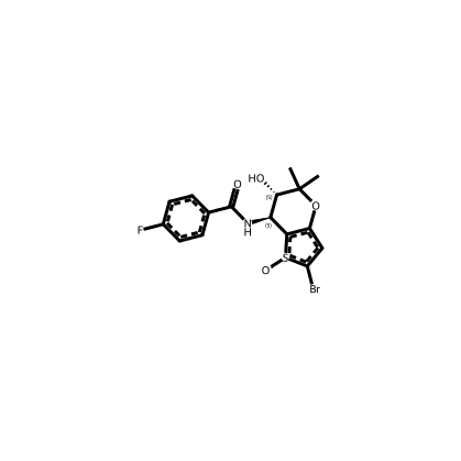 CC1(C)Oc2cc(Br)[s+]([O-])c2[C@@H](NC(=O)c2ccc(F)cc2)[C@@H]1O